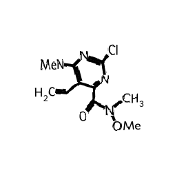 C=Cc1c(NC)nc(Cl)nc1C(=O)N(C)OC